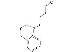 ClCCCCN1CCCc2ccccc21